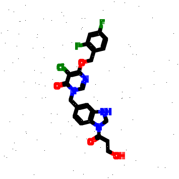 O=C(CCO)N1CNc2cc(Cn3cnc(OCc4ccc(F)cc4F)c(Cl)c3=O)ccc21